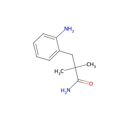 CC(C)(Cc1ccccc1N)C(N)=O